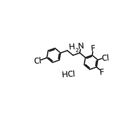 Cl.NC(CCc1ccc(Cl)cc1)c1ccc(F)c(Cl)c1F